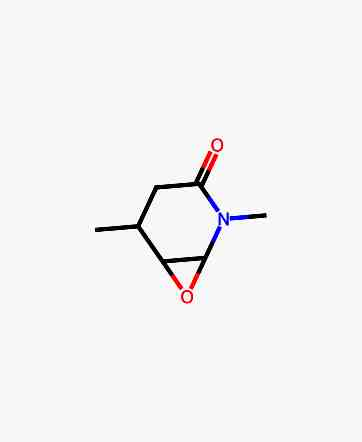 CC1CC(=O)N(C)C2OC12